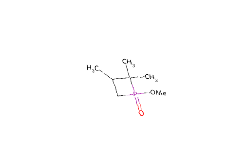 COP1(=O)CC(C)C1(C)C